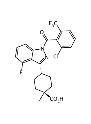 C[C@]1(C(=O)O)CC[C@H](c2nn(C(=O)c3c(Cl)cccc3C(F)(F)F)c3cccc(F)c32)CC1